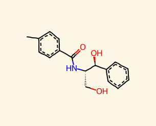 Cc1ccc(C(=O)N[C@@H](CO)[C@@H](O)c2ccccc2)cc1